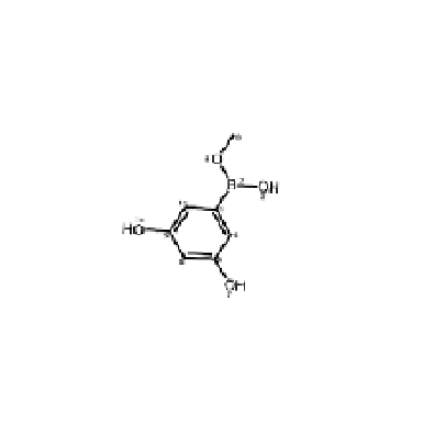 COB(O)c1cc(O)cc(O)c1